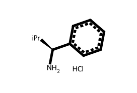 CC(C)[C@H](N)c1ccccc1.Cl